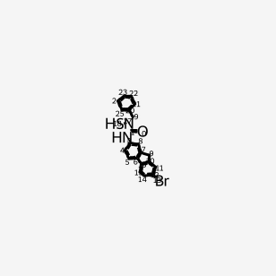 O=C(Nc1ccc2c(c1)Cc1cc(Br)ccc1-2)N(S)Cc1ccccc1